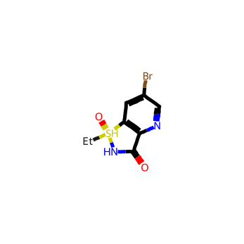 CC[SH]1(=O)NC(=O)c2ncc(Br)cc21